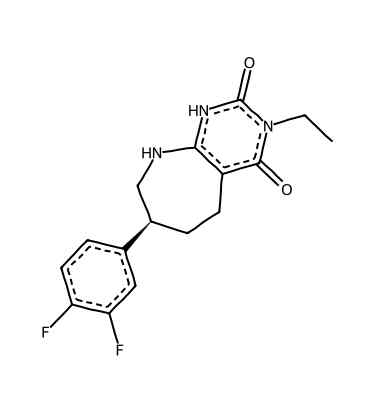 CCn1c(=O)[nH]c2c(c1=O)CC[C@@H](c1ccc(F)c(F)c1)CN2